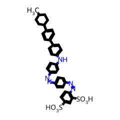 CC1CCC(c2ccc(-c3ccc(Nc4ccc(/N=N\c5ccc(/N=N\c6ccc(S(=O)(=O)O)cc6S(=O)(=O)O)cc5)cc4)cc3)cc2)CC1